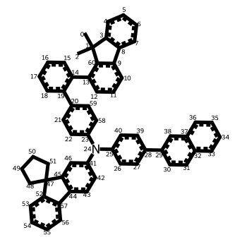 CC1(C)c2ccccc2-c2cccc(-c3ccccc3-c3ccc(N(c4ccc(-c5ccc6ccccc6c5)cc4)c4ccc5c(c4)C4(CCCC4)c4ccccc4-5)cc3)c21